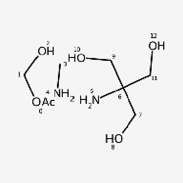 CC(=O)OCO.CN.NC(CO)(CO)CO